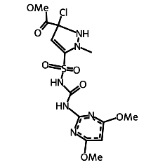 COC(=O)C1(Cl)C=C(S(=O)(=O)NC(=O)Nc2nc(OC)cc(OC)n2)N(C)N1